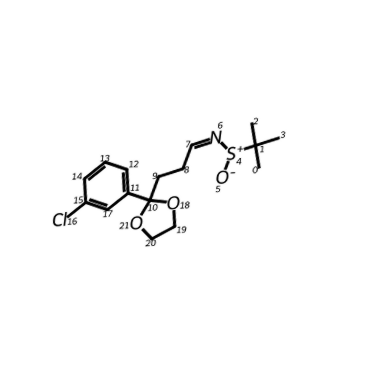 CC(C)(C)[S+]([O-])/N=C\CCC1(c2cccc(Cl)c2)OCCO1